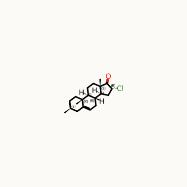 C[C@H]1CC[C@@]2(C)C(=CC[C@@H]3[C@@H]2CC[C@]2(C)C(=O)[C@H](Cl)C[C@@H]32)C1